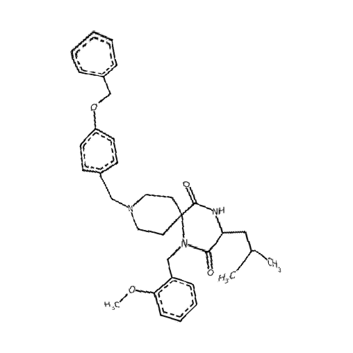 COc1ccccc1CN1C(=O)C(CC(C)C)NC(=O)C12CCN(Cc1ccc(OCc3ccccc3)cc1)CC2